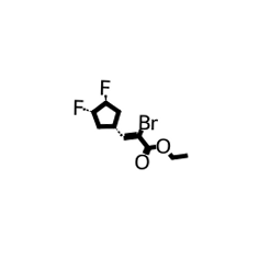 CCOC(=O)/C(Br)=C/[C@H]1C[C@@H](F)[C@@H](F)C1